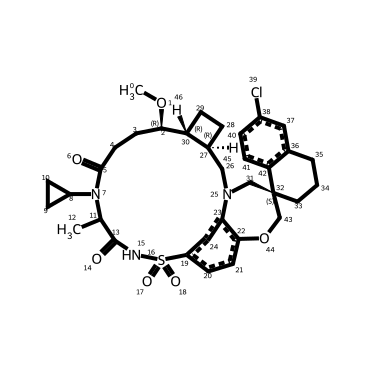 CO[C@@H]1CCC(=O)N(C2CC2)C(C)C(=O)NS(=O)(=O)c2ccc3c(c2)N(C[C@@H]2CC[C@H]21)C[C@@]1(CCCc2cc(Cl)ccc21)CO3